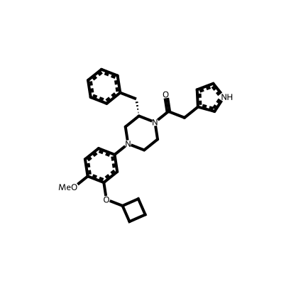 COc1ccc(N2CCN(C(=O)Cc3cc[nH]c3)[C@@H](Cc3ccccc3)C2)cc1OC1CCC1